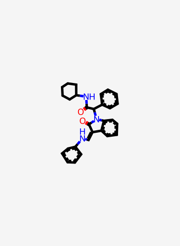 O=C(NC1CCCCC1)C(c1ccccc1)N1C(=O)C(=CNc2ccccc2)c2ccccc21